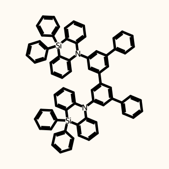 c1ccc(-c2cc(-c3cc(-c4ccccc4)cc(N4c5ccccc5[Si](c5ccccc5)(c5ccccc5)c5ccccc54)c3)cc(N3c4ccccc4[Si](c4ccccc4)(c4ccccc4)c4ccccc43)c2)cc1